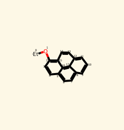 C[CH]Oc1ccc2ccc3cccc4ccc1c2c34